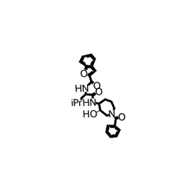 CC(C)CC(NC(=O)c1cc2ccccc2o1)C(=O)NC1CCCN(C(=O)c2ccccc2)C[C@@H]1O